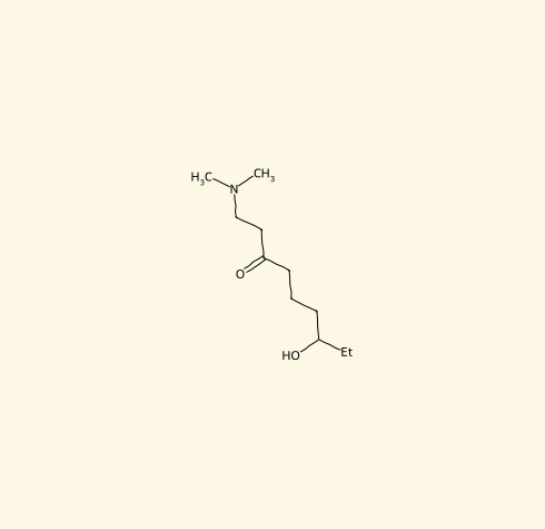 CCC(O)CCCC(=O)CCN(C)C